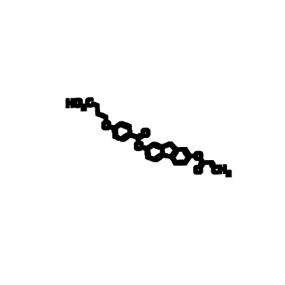 C=CC(=O)Oc1ccc2c(c1)Cc1cc(OC(=O)c3ccc(OCCCC(=O)O)cc3)ccc1-2